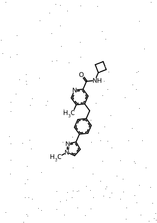 Cc1cnc(C(=O)NC2CCC2)cc1Cc1ccc(-c2ccn(C)n2)cc1